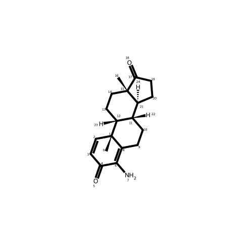 C[C@]12C=CC(=O)C(N)=C1CC[C@@H]1[C@H]2CC[C@]2(C)C(=O)CC[C@@H]12